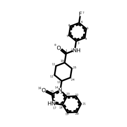 O=C(Nc1ccc(F)cc1)C1CCC(n2c(=O)[nH]c3ccccc32)CC1